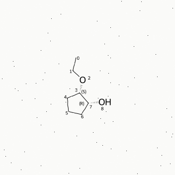 CCO[C@H]1CCC[C@H]1O